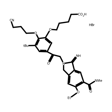 Br.CCOc1cc2c(cc1C(=O)NC)C(=N)N(CC(=O)c1cc(OCCCCC(=O)O)c(OCCCC#N)c(C(C)(C)C)c1)C2